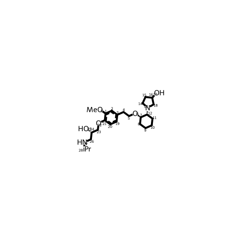 COc1cc(CCO[C@@H]2CCCC[C@H]2N2CCC(O)C2)ccc1OC[C@@H](O)CNC(C)C